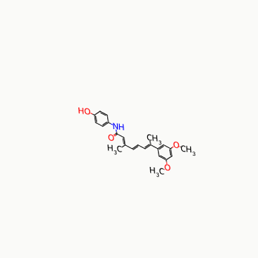 COc1cc(OC)cc(C(C)=CC=CC(C)=CC(=O)Nc2ccc(O)cc2)c1